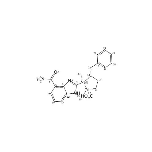 C[C@]1(c2nc3c(C(N)=O)cccc3[nH]2)C(Cc2ccccc2)CCN1C(=O)O